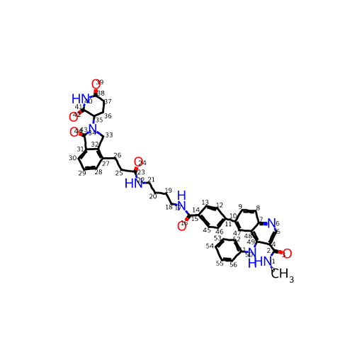 CNC(=O)c1cnc2ccc(-c3ccc(C(=O)NCCCCNC(=O)CCc4cccc5c4CN(C4CCC(=O)NC4=O)C5=O)cc3)cc2c1Nc1ccccc1